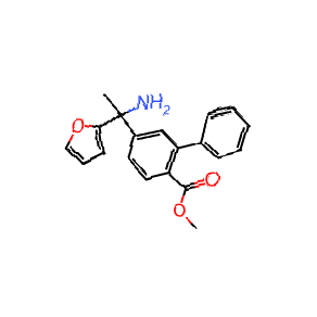 COC(=O)c1ccc(C(C)(N)c2ccco2)cc1-c1ccccc1